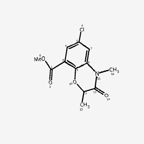 COC(=O)c1cc(Cl)cc2c1OC(C)C(=O)N2C